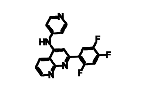 Fc1cc(F)c(-c2cc(Nc3ccncc3)c3cccnc3n2)cc1F